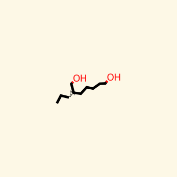 CCC[C@H](CO)CCCCCO